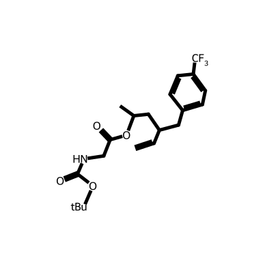 C=CC(Cc1ccc(C(F)(F)F)cc1)CC(C)OC(=O)CNC(=O)OC(C)(C)C